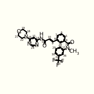 CN(C(=O)c1cccc(C=CC(=O)Nc2cc(N3CCOCC3)ncn2)c1)c1cccc(C(F)(F)F)c1